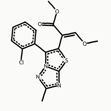 CO/C=C(/C(=O)OC)c1sc2nc(C)nn2c1-c1ccccc1Cl